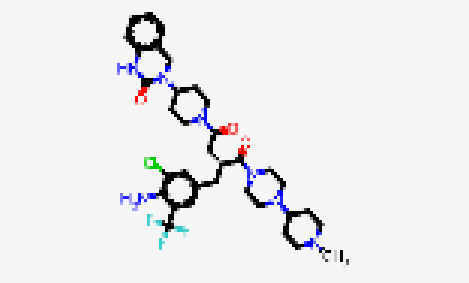 CN1CCC(N2CCN(C(=O)[C@H](CC(=O)N3CCC(N4Cc5ccccc5NC4=O)CC3)Cc3cc(Cl)c(N)c(C(F)(F)F)c3)CC2)CC1